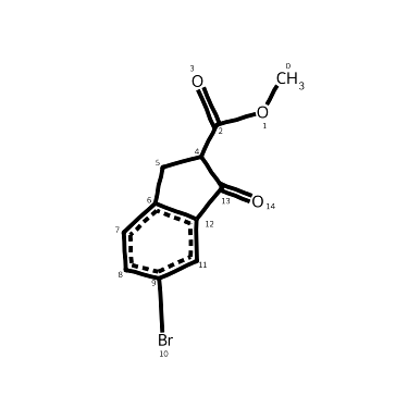 COC(=O)C1Cc2ccc(Br)cc2C1=O